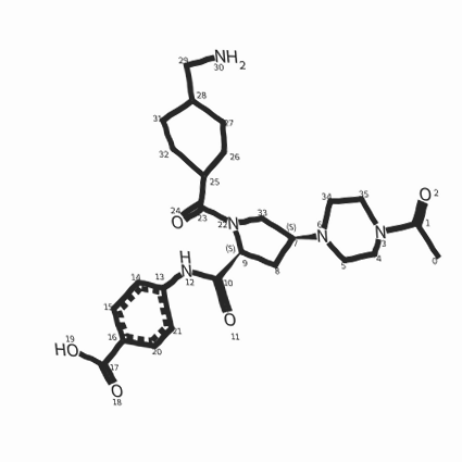 CC(=O)N1CCN([C@H]2C[C@@H](C(=O)Nc3ccc(C(=O)O)cc3)N(C(=O)C3CCC(CN)CC3)C2)CC1